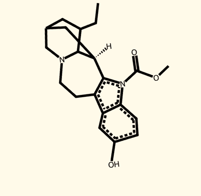 CCC1CC2C[C@H]3c4c(c5cc(O)ccc5n4C(=O)OC)CCN(C2)C13